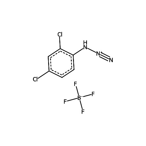 F[B-](F)(F)F.N#[N+]Nc1ccc(Cl)cc1Cl